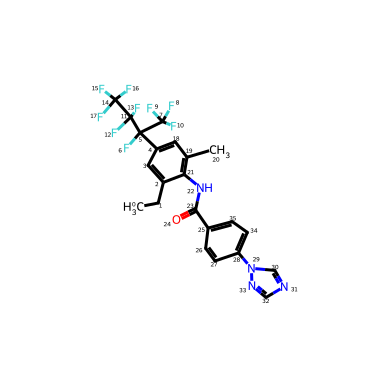 CCc1cc(C(F)(C(F)(F)F)C(F)(F)C(F)(F)F)cc(C)c1NC(=O)c1ccc(-n2cncn2)cc1